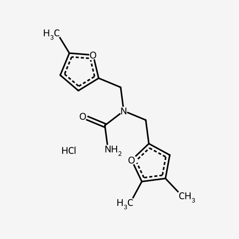 Cc1ccc(CN(Cc2cc(C)c(C)o2)C(N)=O)o1.Cl